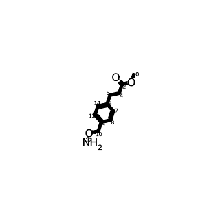 COC(=O)CCc1ccc(CON)cc1